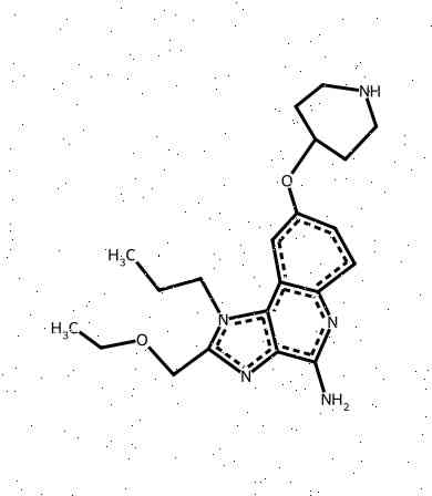 CCCn1c(COCC)nc2c(N)nc3ccc(OC4CCNCC4)cc3c21